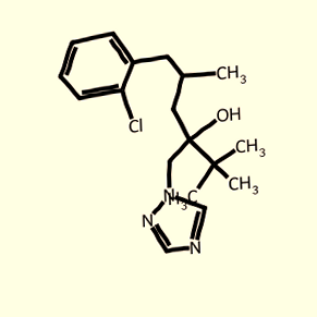 CC(Cc1ccccc1Cl)CC(O)(Cn1cncn1)C(C)(C)C